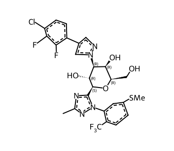 CSc1ccc(C(F)(F)F)c(-n2nc(C)nc2[C@@H]2O[C@H](CO)[C@H](O)[C@H](n3cc(-c4ccc(Cl)c(F)c4F)cn3)[C@H]2O)c1